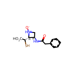 O=C(Cc1ccccc1)N[C@@H]1C[NH+]([O-])[C@H]1C(S)C(=O)O